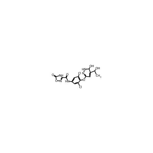 CC(O)C1=CC(Oc2c(Cl)cc(NC(=O)c3noc(=O)[nH]3)cc2Cl)=NNC1O